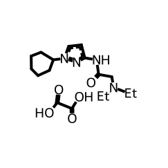 CCN(CC)CC(=O)Nc1ccn(C2CCCCC2)n1.O=C(O)C(=O)O